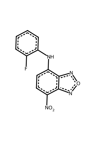 O=[N+]([O-])c1ccc(Nc2ccccc2F)c2nonc12